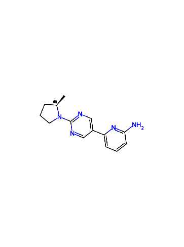 C[C@@H]1CCCN1c1ncc(-c2cccc(N)n2)cn1